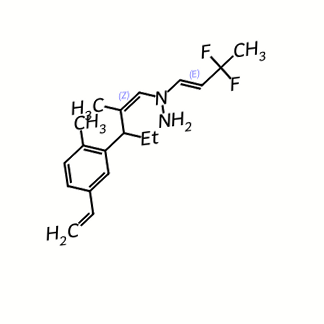 C=Cc1ccc(C)c(C(CC)/C(C)=C\N(N)/C=C/C(C)(F)F)c1